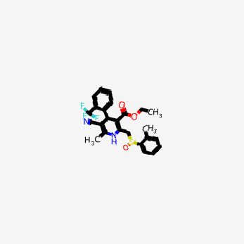 CCOC(=O)C1=C(C[S+]([O-])c2ccccc2C)NC(C)=C(C#N)C1c1ccccc1C(F)(F)F